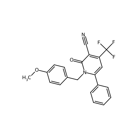 COc1ccc(Cn2c(-c3ccccc3)cc(C(F)(F)F)c(C#N)c2=O)cc1